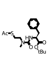 CC(=O)SCCN(C)C(=O)N[C@@H](Cc1ccccc1)C(=O)OC(C)(C)C